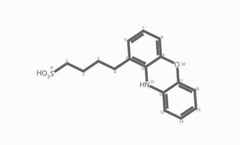 O=S(=O)(O)CCCCc1cccc2c1Nc1ccccc1O2